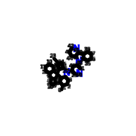 Cc1ccc2c(c1)C1(c3ccccc3-c3ccccc31)c1cc(C)ccc1N2c1cncc(-n2c3ccccc3c3ncccc32)c1